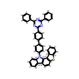 c1ccc(-c2nc(-c3ccccc3)nc(-c3ccc(-c4ccc(-n5c6ccccc6c6ccc7sc8ccccc8c7c65)cc4)cc3)n2)cc1